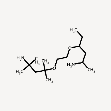 CCC(CC(C)N)OCCOC(C)(C)CC(C)(C)N